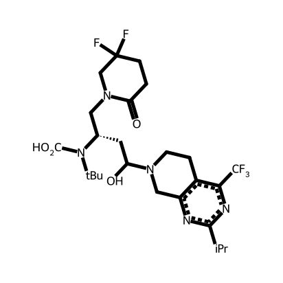 CC(C)c1nc2c(c(C(F)(F)F)n1)CCN(C(O)C[C@@H](CN1CC(F)(F)CCC1=O)N(C(=O)O)C(C)(C)C)C2